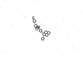 Fc1ccc(-c2ccc3oc(-c4ccc(-c5cc(-c6ccccc6)c6ccc7cccc8ccc5c6c78)cc4)nc3c2)cc1